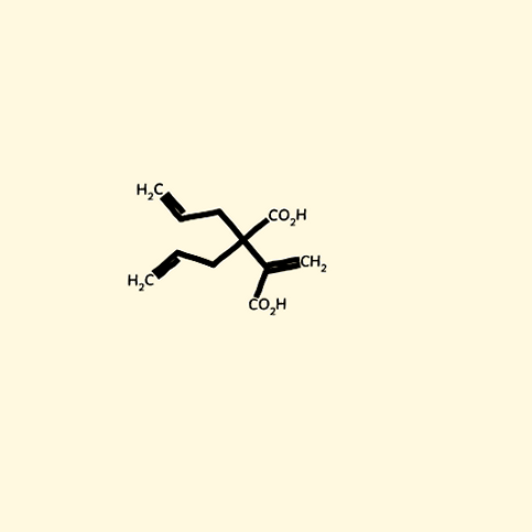 C=CCC(CC=C)(C(=C)C(=O)O)C(=O)O